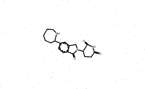 O=C1CCC(N2Cc3cc(C4CCCCCN4)ccc3C2=O)C(=O)N1